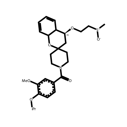 COc1cc(C(=O)N2CCC3(CC2)C[C@H](OCC[S+](C)[O-])C2C=CC=CC2O3)ccc1OC(C)C